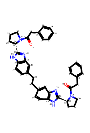 O=C(Cc1ccccc1)N1CCC[C@H]1c1nc2cc(CCc3ccc4[nH]c([C@@H]5CCCN5C(=O)Cc5ccccc5)nc4c3)ccc2[nH]1